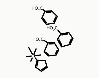 O=C(O)c1ccccc1.O=C(O)c1ccccc1.O=C(O)c1ccccc1.[CH3][Ti]([CH3])([CH3])([CH3])([CH3])[C]1=CC=CC1